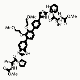 COCCOc1c(-c2ccc(-c3cnc([C@@H]4[C@H]5C=C[C@H](C5)N4C(=O)[C@@H](NC(=O)OC)C(C)C)[nH]3)cc2)ccc(-c2ccc3nc([C@@H]4CCCN4C(=O)[C@@H](NC(=O)OC)C(C)C)[nH]c3c2)c1OCCOC